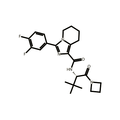 CC(C)(C)[C@H](NC(=O)c1nc(-c2ccc(F)c(F)c2)n2c1CCCC2)C(=O)N1CCC1